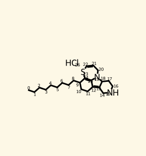 CCCCCCCCCC1CCC2=C3CNCCC3N3CC=CSC1=C23.Cl